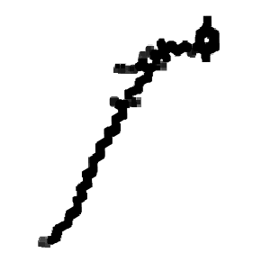 CCC=CCC=CCC=CCC=CCC=CCC=CCCC(=O)NCCCCC(NC(=O)C(C)(C)CCCOc1cc(C)ccc1C)C(=O)OC